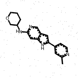 Cc1cc(-c2cc3cnc(NC4CCCOC4)cc3[nH]2)ccn1